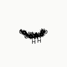 COc1ccc(NC(=O)N2CCC(Nc3nc(Nc4ccc5c(c4)C=NC5=O)ncc3Cl)CC2)cc1